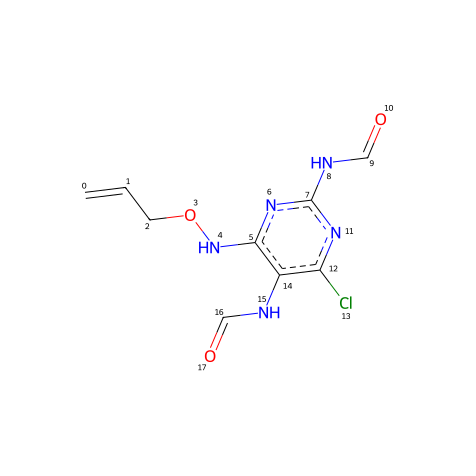 C=CCONc1nc(NC=O)nc(Cl)c1NC=O